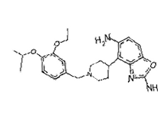 CCOc1cc(CN2CCC(c3c(N)ccc4oc(N)nc34)CC2)ccc1OC(C)C